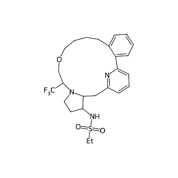 CCS(=O)(=O)NC1CCN2C1Cc1cccc(n1)-c1ccccc1CCCCOCC2C(F)(F)F